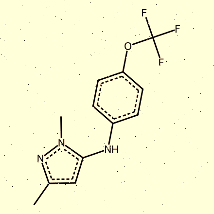 Cc1cc(Nc2ccc(OC(F)(F)F)cc2)n(C)n1